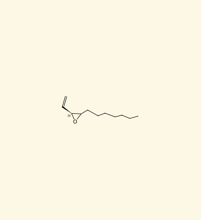 C=C[C@@H]1OC1CCCCCCC